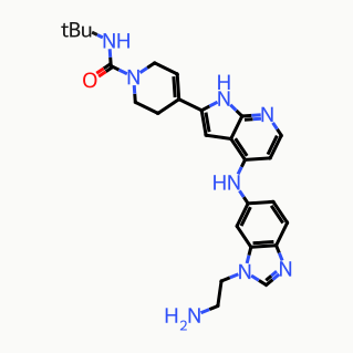 CC(C)(C)NC(=O)N1CC=C(c2cc3c(Nc4ccc5ncn(CCN)c5c4)ccnc3[nH]2)CC1